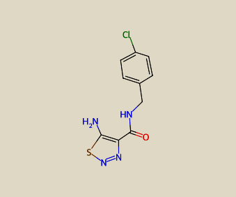 Nc1snnc1C(=O)NCc1ccc(Cl)cc1